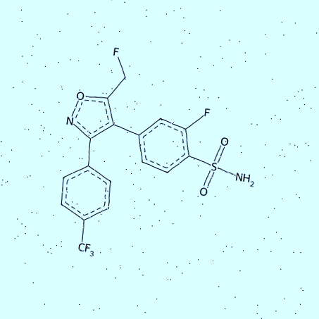 NS(=O)(=O)c1ccc(-c2c(-c3ccc(C(F)(F)F)cc3)noc2CF)cc1F